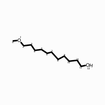 COCCCCCCCCCCCO